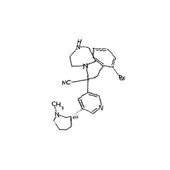 CN1CCC[C@H]1c1cncc(C(C#N)(Cc2ccccc2Br)N2CCNCC2)c1